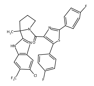 CC1(c2nc3cc(Cl)c(C(F)(F)F)cc3[nH]2)CCCN1C(=O)c1nc(-c2ccc(F)cc2)sc1-c1ccc(F)cc1